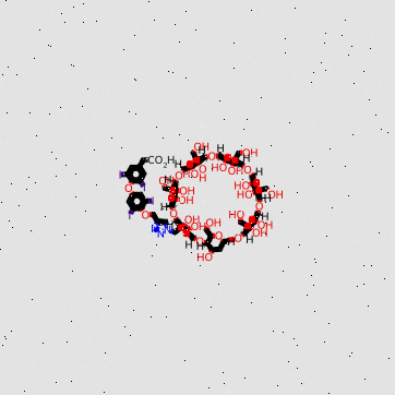 O=C(O)Cc1cc(I)c(Oc2cc(I)c(OCc3cn(CC4O[C@H]5O[C@H]6C(O)C[C@@H](OC6CO)O[C@@H]6C(CO)O[C@@H](O[C@@H]7C(CO)O[C@@H](O[C@H]8C(CO)O[C@@H](O[C@@H]9C(CO)O[C@@H](O[C@@H]%10C(CO)O[C@@H](O[C@H]4C(O)C5O)C(O)C%10O)C(O)C9O)C(O)C8O)C(O)C7O)C(O)C6O)nn3)c(I)c2)c(I)c1